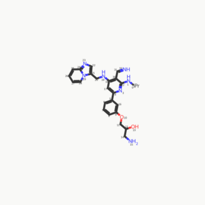 CC(C)Nc1nc(-c2cccc(OCC(O)CN)c2)cc(NCc2cnc3ccccn23)c1C=N